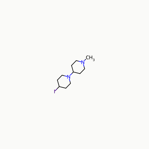 CN1CCC(N2CCC(I)CC2)CC1